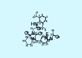 CC(C)c1cccc(C(C)C)c1NC(=O)CN1C(=O)N(Cc2cccc(F)c2)C2(CCCCC2)C1=O.CC(N)=O